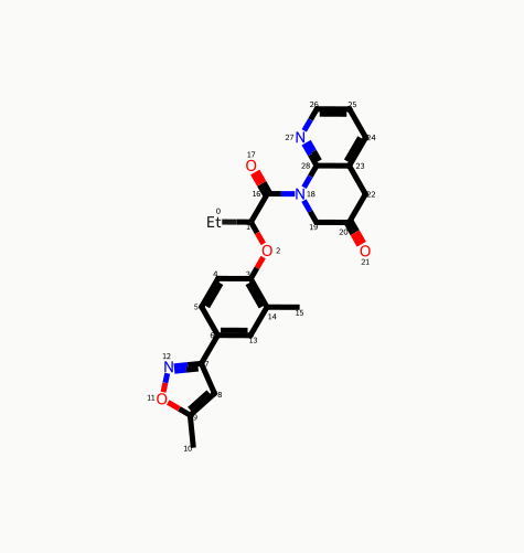 CCC(Oc1ccc(-c2cc(C)on2)cc1C)C(=O)N1CC(=O)Cc2cccnc21